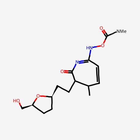 CNC(=O)ONC1=NC(=O)C(CC[C@H]2CC[C@@H](CO)O2)C(C)C=C1